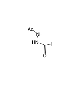 CC(=O)NNC(=O)I